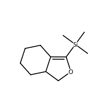 C[Si](C)(C)C1=C2CCCCC2CO1